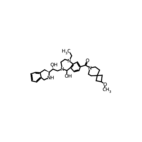 CCN1CCN(C[C@@H](O)[C@@H]2Cc3ccccc3CN2)C(O)c2ccc(C(=O)N3CCC4(CC3)CC(OC)C4)cc21